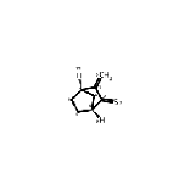 C=C1C(=S)[C@@H]2CC[C@H]1C2